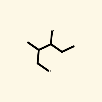 [CH2]CC(C)C([CH2])CC